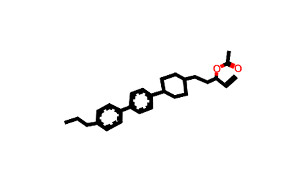 C=CC(CCC1CCC(c2ccc(-c3ccc(CCC)cc3)cc2)CC1)OC(C)=O